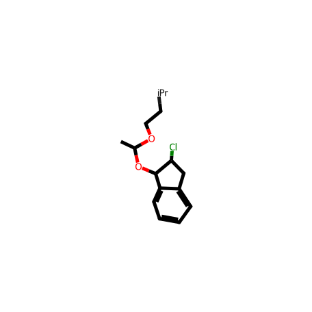 CC(C)CCOC(C)OC1c2ccccc2CC1Cl